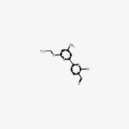 CCOc1cc(C)cc(-c2ccc(C=O)c(Cl)n2)n1